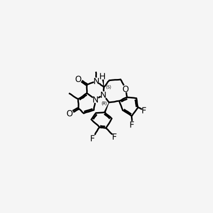 Cc1c2n(ccc1=O)N1[C@H](c3ccc(F)c(F)c3)c3cc(F)c(F)cc3OCC[C@H]1N(C)C2=O